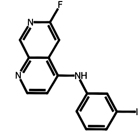 Fc1cc2c(Nc3cccc(I)c3)ccnc2cn1